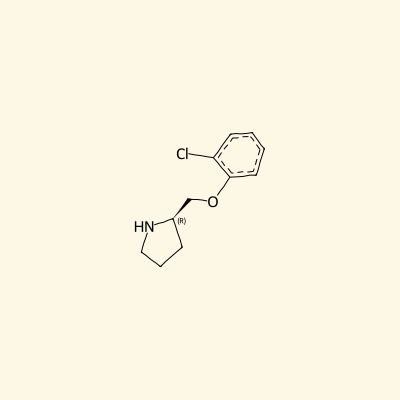 Clc1ccccc1OC[C@H]1CCCN1